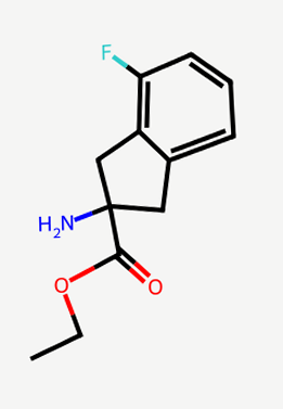 CCOC(=O)C1(N)Cc2cccc(F)c2C1